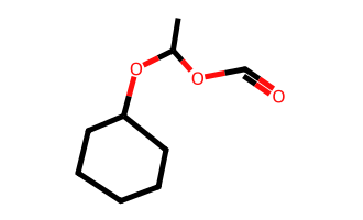 CC(OC=O)OC1CCCCC1